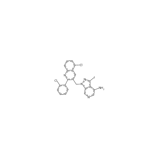 Nc1cncc2c1c(I)nn2Cc1cc2c(Cl)cccc2nc1-c1ccccc1Cl